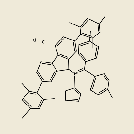 Cc1ccc([C](c2ccc(C)cc2)=[Ti+2]([C]2=CC=CC2)[CH]2c3cc(-c4c(C)cc(C)cc4C)ccc3-c3ccc(-c4c(C)cc(C)cc4C)cc32)cc1.[Cl-].[Cl-]